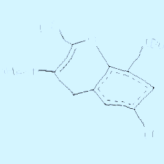 CCCCCCCC1=C(C)Oc2c(cc(C)cc2C(C)(C)C)C1